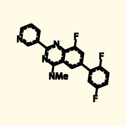 CNc1nc(-c2cccnc2)nc2c(F)cc(-c3cc(F)ccc3F)cc12